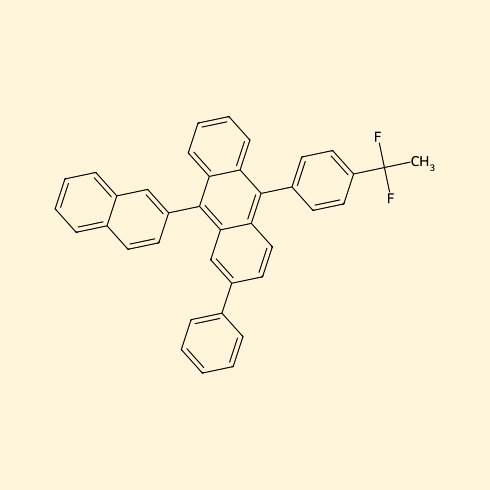 CC(F)(F)c1ccc(-c2c3ccccc3c(-c3ccc4ccccc4c3)c3cc(-c4ccccc4)ccc23)cc1